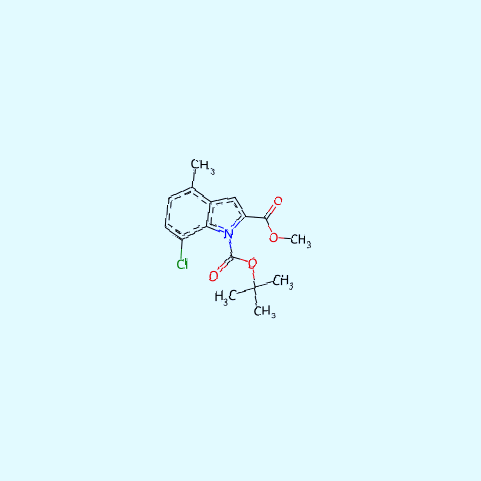 COC(=O)c1cc2c(C)ccc(Cl)c2n1C(=O)OC(C)(C)C